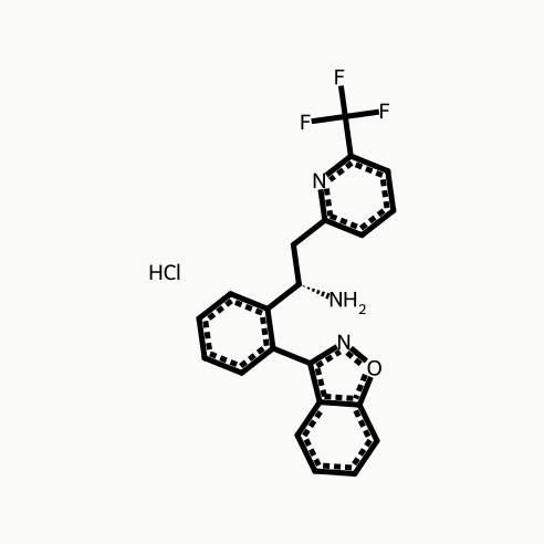 Cl.N[C@@H](Cc1cccc(C(F)(F)F)n1)c1ccccc1-c1noc2ccccc12